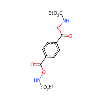 CCOC(=O)NOC(=O)c1ccc(C(=O)ONC(=O)OCC)cc1